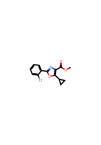 COC(=O)c1nc(-c2ccccc2Cl)oc1C1CC1